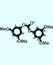 COc1cc(OC)cc(OC(=O)Oc2cc(OC)cc(OC)c2)c1